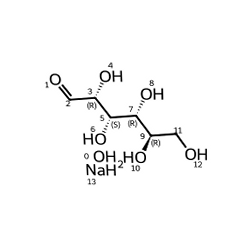 O.O=C[C@H](O)[C@@H](O)[C@H](O)[C@H](O)CO.[NaH]